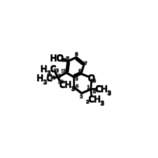 CC1(C)CCc2c(ccc(O)c2C(C)(C)C)O1